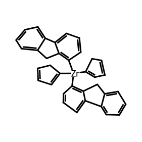 C1=CC[C]([Zr]([C]2=CC=CC2)([c]2cccc3c2Cc2ccccc2-3)[c]2cccc3c2Cc2ccccc2-3)=C1